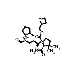 CC1(C)CC[N+](C(=O)OCC2CCO2)(C(=O)[C@H](CC2CCCC2)CN(O)C=O)[C@@H]1C(N)=O